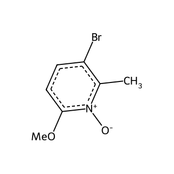 COc1ccc(Br)c(C)[n+]1[O-]